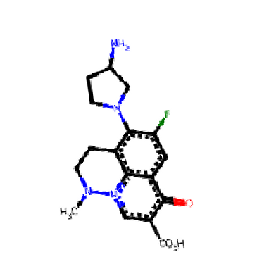 CN1CCc2c(N3CCC(N)C3)c(F)cc3c(=O)c(C(=O)O)cn1c23